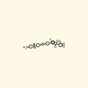 NC1CCN(S(=O)(=O)C2CCN(C3CN(C4CCN(c5cc6c(cc5F)C(=O)N(C5CCC(=O)NC5=O)C6=O)CC4)C3)CC2)CC1